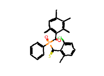 Cc1cc(C)c(C(=O)P(=O)(C(=S)c2c(C)cccc2Cl)c2ccccc2)c(C)c1C